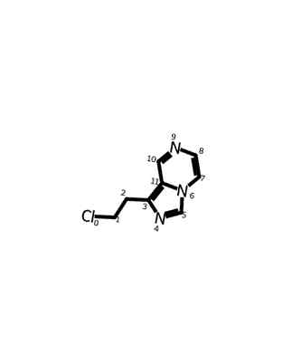 ClCCc1ncn2ccncc12